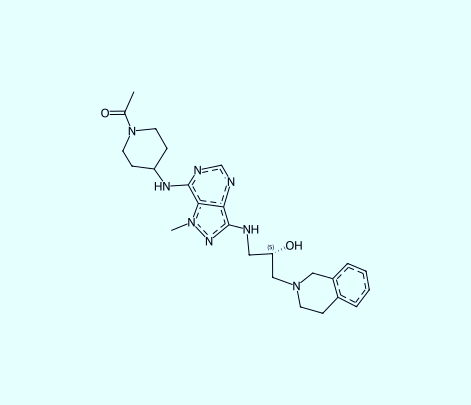 CC(=O)N1CCC(Nc2ncnc3c(NC[C@H](O)CN4CCc5ccccc5C4)nn(C)c23)CC1